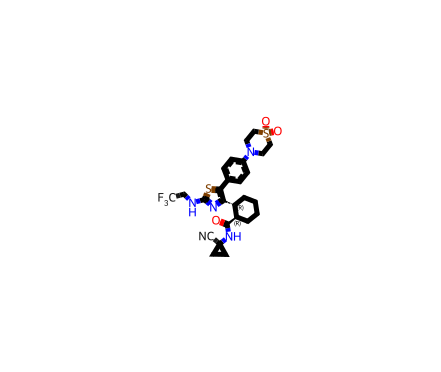 N#CC1(NC(=O)[C@@H]2CCCC[C@H]2c2nc(NCC(F)(F)F)sc2-c2ccc(N3CCS(=O)(=O)CC3)cc2)CC1